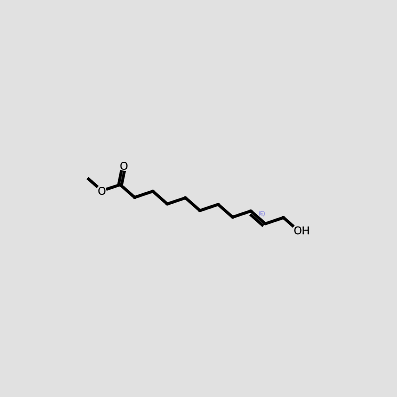 COC(=O)CCCCCCC/C=C/CO